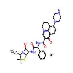 CC1(C)SC2C(NC(=O)C(NC(=O)c3cn4c5c(c(N6CCNCC6)ccc5c3=O)CCC4)c3ccccc3)C(=O)N2C1C(=O)[O-].[K+]